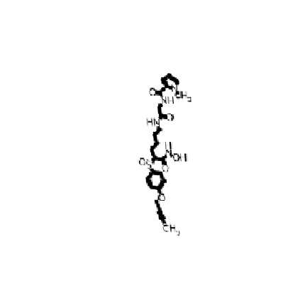 CC#CCOc1ccc([S+]([O-])C(CCCCNC(=O)CNC(=O)c2cccn2C)C(=O)NO)cc1